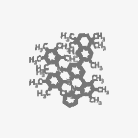 Cc1cc2c(cc1-c1cc3c4c(c1)N(c1c(C)c(C)c(C)c(C)c1C)c1c(C)c(C)c(C)c(C)c1B4n1c4ccccc4c4c(C)c(C)c(C)c-3c41)C(C)(C)CCC2(C)C